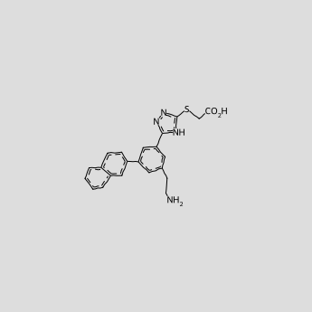 NCCc1cc(-c2ccc3ccccc3c2)cc(-c2nnc(SCC(=O)O)[nH]2)c1